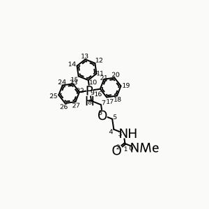 CNC(=O)NCCOCC[PH](c1ccccc1)(c1ccccc1)c1ccccc1